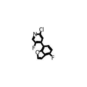 Fc1cnc(Cl)cc1-c1ccc(F)c2ccoc12